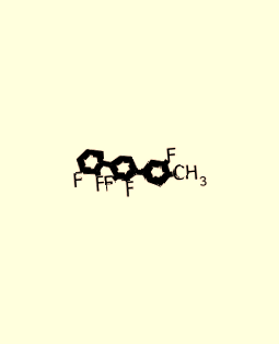 Cc1ccc(-c2ccc(-c3cccc(F)c3F)c(F)c2F)cc1F